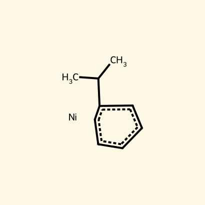 CC(C)c1ccccc1.[Ni]